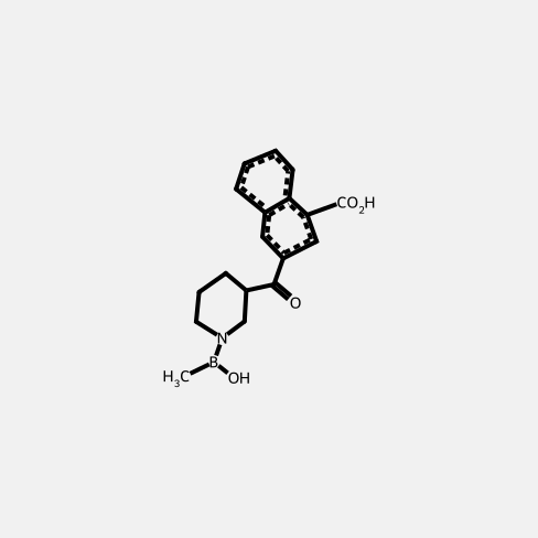 CB(O)N1CCCC(C(=O)c2cc(C(=O)O)c3ccccc3c2)C1